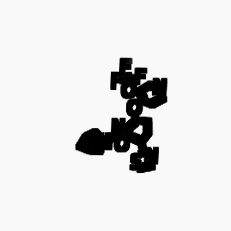 FC(F)(F)Oc1cnccc1Oc1ccc(-c2nccs2)c2oc(N3CC4CC(C3)N4)nc12